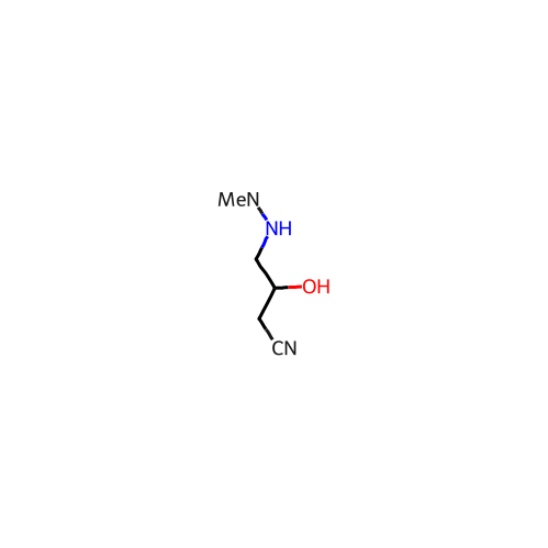 CNNCC(O)CC#N